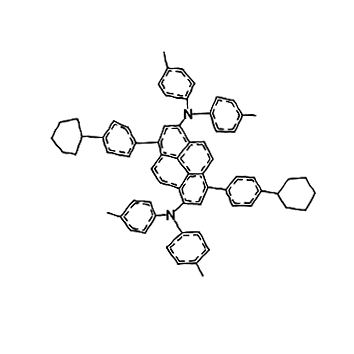 Cc1ccc(N(c2ccc(C)cc2)c2cc(-c3ccc(C4CCCCC4)cc3)c3ccc4c(N(c5ccc(C)cc5)c5ccc(C)cc5)cc(-c5ccc(C6CCCCC6)cc5)c5ccc2c3c54)cc1